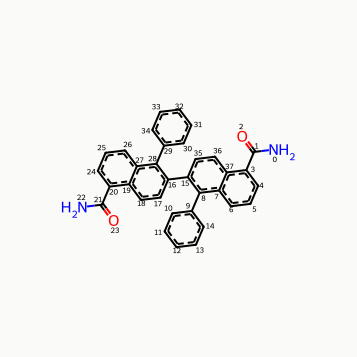 NC(=O)c1cccc2c(-c3ccccc3)c(-c3ccc4c(C(N)=O)cccc4c3-c3ccccc3)ccc12